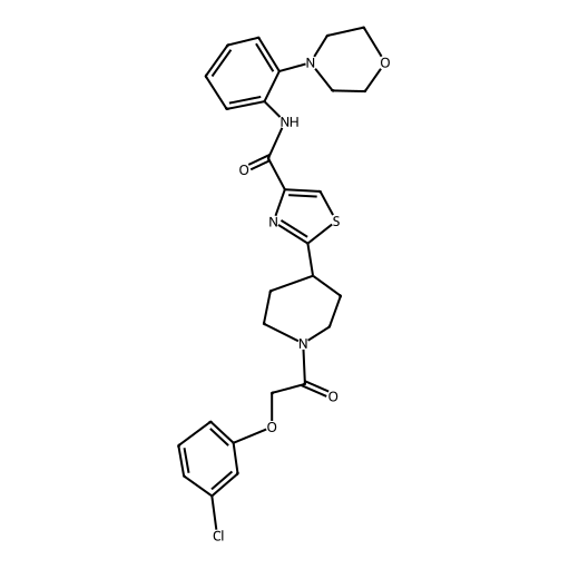 O=C(Nc1ccccc1N1CCOCC1)c1csc(C2CCN(C(=O)COc3cccc(Cl)c3)CC2)n1